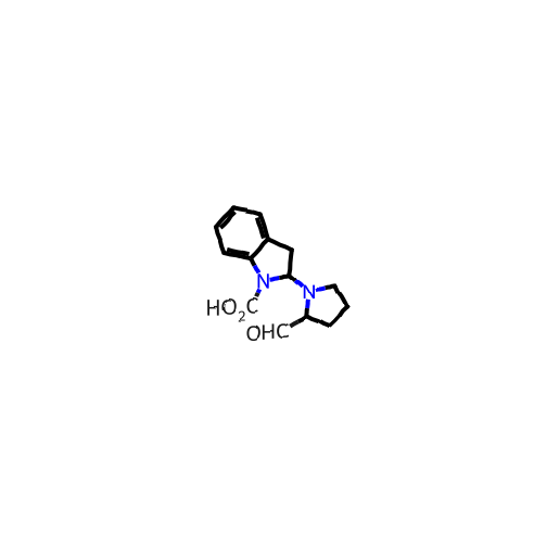 O=CC1CCCN1C1Cc2ccccc2N1C(=O)O